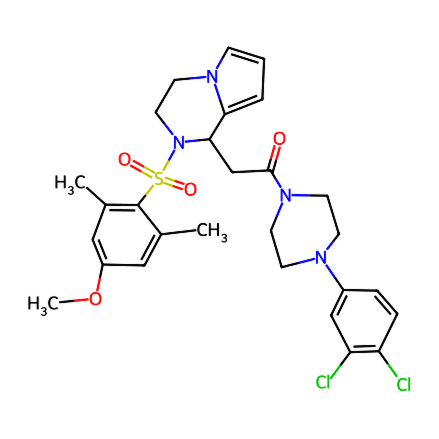 COc1cc(C)c(S(=O)(=O)N2CCn3cccc3C2CC(=O)N2CCN(c3ccc(Cl)c(Cl)c3)CC2)c(C)c1